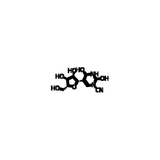 N#CN1C=C([C@@H]2O[C@H](CO)[C@@H](O)[C@H]2O)C(O)NC1O